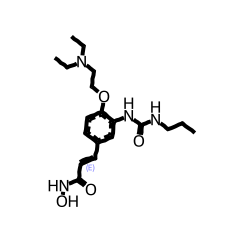 CCCNC(=O)Nc1cc(/C=C/C(=O)NO)ccc1OCCN(CC)CC